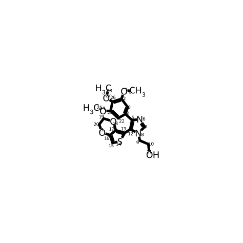 COc1cc(-c2ncn(CCO)c2-c2scc3c2OCCO3)cc(OC)c1OC